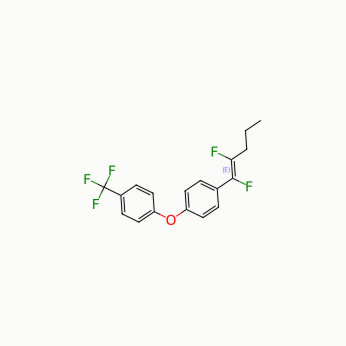 CCC/C(F)=C(\F)c1ccc(Oc2ccc(C(F)(F)F)cc2)cc1